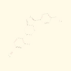 N#Cc1ccc(N2CCn3c(cnc3-c3ccc(CBr)cc3)C2)c(F)c1